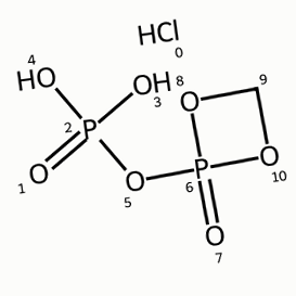 Cl.O=P(O)(O)OP1(=O)OCO1